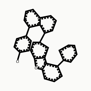 Clc1ccc(-c2cccc3cccc(-c4ccc5oc6cccc(-c7ccccc7)c6c5c4)c23)cc1